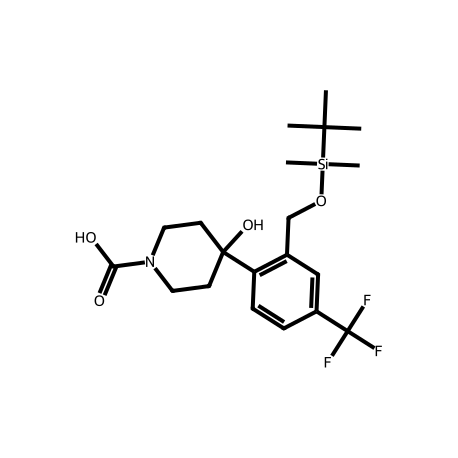 CC(C)(C)[Si](C)(C)OCc1cc(C(F)(F)F)ccc1C1(O)CCN(C(=O)O)CC1